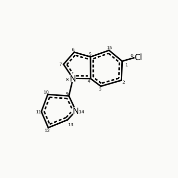 Clc1ccc2c(ccn2-c2ccccn2)c1